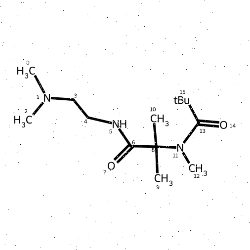 CN(C)CCNC(=O)C(C)(C)N(C)C(=O)C(C)(C)C